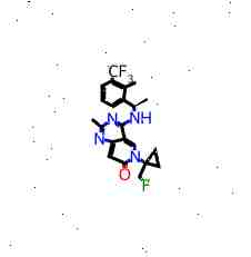 Cc1nc(N[C@H](C)c2cccc(C(F)(F)F)c2C)c2cn(C3(CF)CC3)c(=O)cc2n1